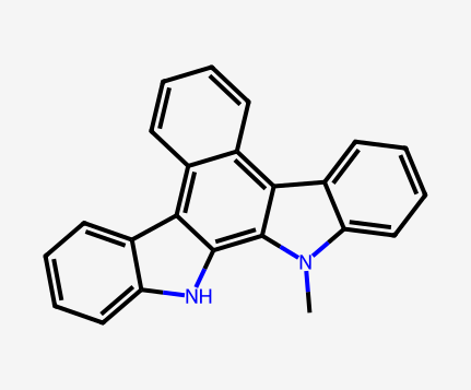 Cn1c2ccccc2c2c3ccccc3c3c4ccccc4[nH]c3c21